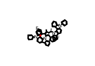 CC1=C(c2cccc(F)c2)C(n2c3ccccc3c3ccc4c(c5ccccc5n4-c4ccccc4)c32)=C(c2cccc(F)c2)[C@H]1[C@@H](C)n1c2ccccc2c2ccc3c(c4ccccc4n3-c3ccccc3)c21